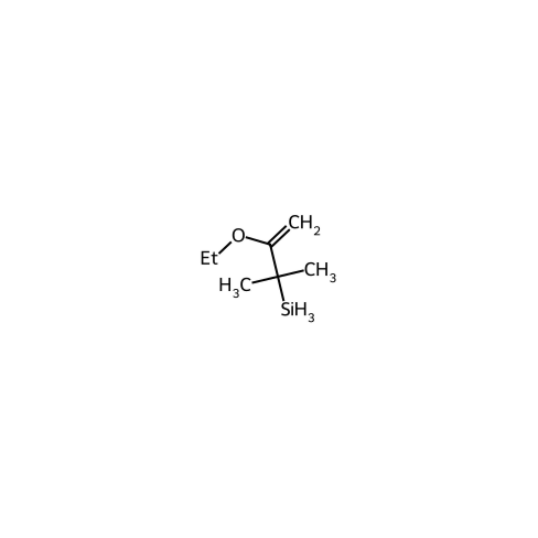 C=C(OCC)C(C)(C)[SiH3]